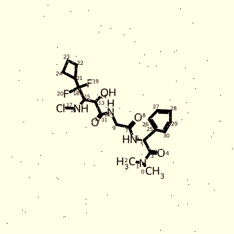 CN(C)C(=O)[C@@H](NC(=O)CNC(=O)C(O)C(NCl)C(F)(F)C1CCC1)c1ccccc1